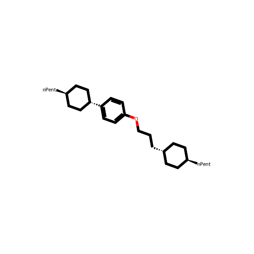 CCCCC[C@H]1CC[C@H](CCCOc2ccc([C@H]3CC[C@H](CCCCC)CC3)cc2)CC1